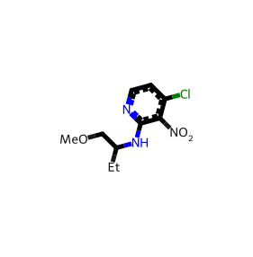 CCC(COC)Nc1nccc(Cl)c1[N+](=O)[O-]